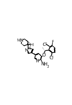 [2H]C1(n2cc(-c3cnc(N)c(O[C@H](C)c4c(Cl)ccc(F)c4Cl)c3)cn2)CCNCC1